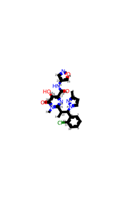 Cc1ccn(C(c2ccccc2Cl)C(C)c2nc(C(=O)Nc3cnoc3)c(O)c(=O)n2C)n1